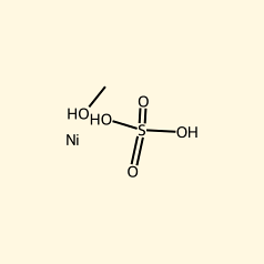 CO.O=S(=O)(O)O.[Ni]